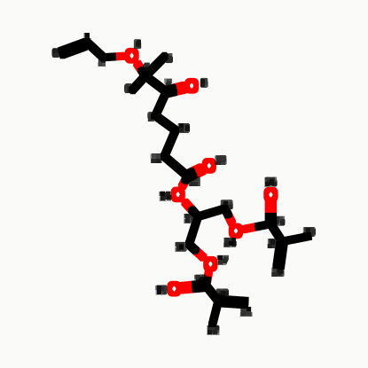 C=CCOC(C)(C)C(=O)CCCC(=O)OC(COC(=O)C(=C)C)COC(=O)C(=C)C